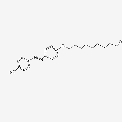 N#Cc1ccc(N=Nc2ccc(OCCCCCCCCCO)cc2)cc1